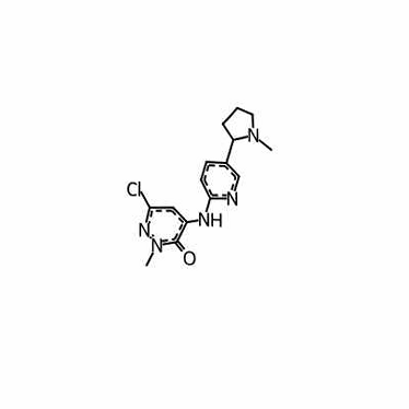 CN1CCCC1c1ccc(Nc2cc(Cl)nn(C)c2=O)nc1